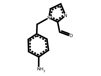 Nc1ccc(Cn2[c]cnc2C=O)cc1